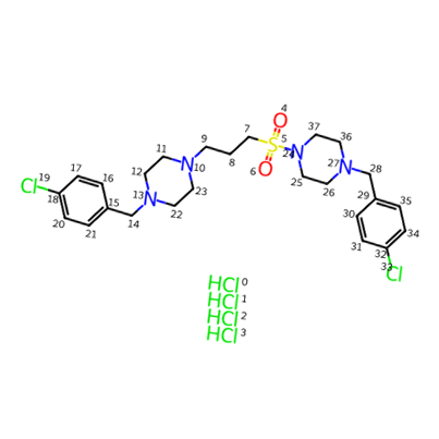 Cl.Cl.Cl.Cl.O=S(=O)(CCCN1CCN(Cc2ccc(Cl)cc2)CC1)N1CCN(Cc2ccc(Cl)cc2)CC1